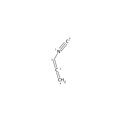 [C-]#[N+]C=C=C